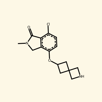 CN1Cc2c(OC3CC4(CNC4)C3)ccc(Cl)c2C1=O